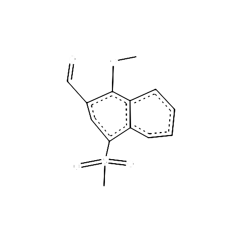 COc1c(C=O)cc(S(C)(=O)=O)c2ccccc12